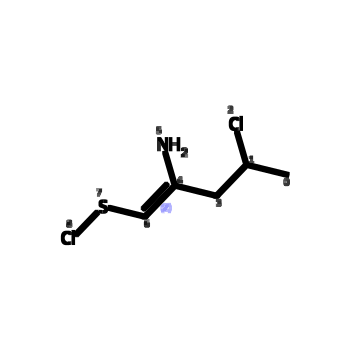 CC(Cl)C/C(N)=C/SCl